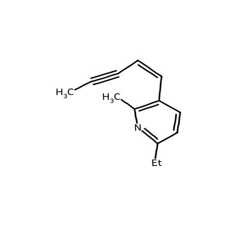 CC#C/C=C\c1ccc(CC)nc1C